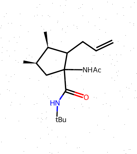 C=CCC1[C@H](C)[C@H](C)CC1(NC(C)=O)C(=O)NC(C)(C)C